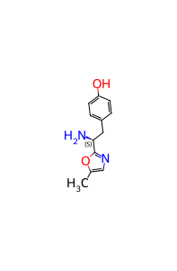 Cc1cnc([C@@H](N)Cc2ccc(O)cc2)o1